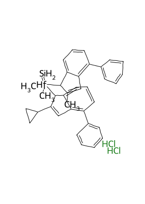 CC1=Cc2c(-c3ccccc3)cccc2[CH]1[Hf]([CH3])([CH3])(=[SiH2])[CH]1C(C2CC2)=Cc2c(-c3ccccc3)cccc21.Cl.Cl